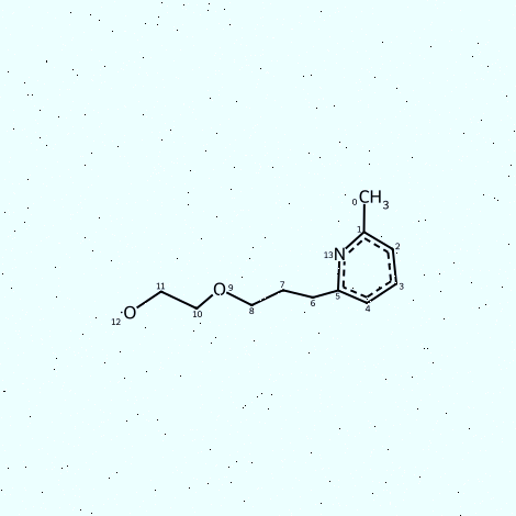 Cc1cccc(CCCOCC[O])n1